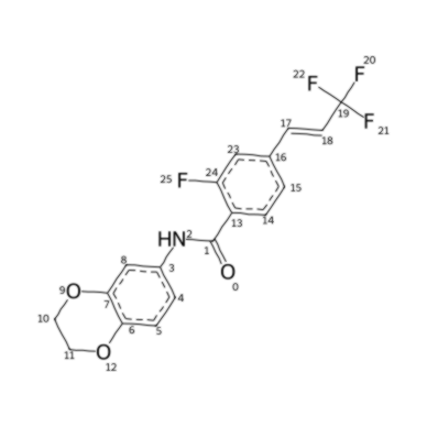 O=C(Nc1ccc2c(c1)OCCO2)c1ccc(/C=C/C(F)(F)F)cc1F